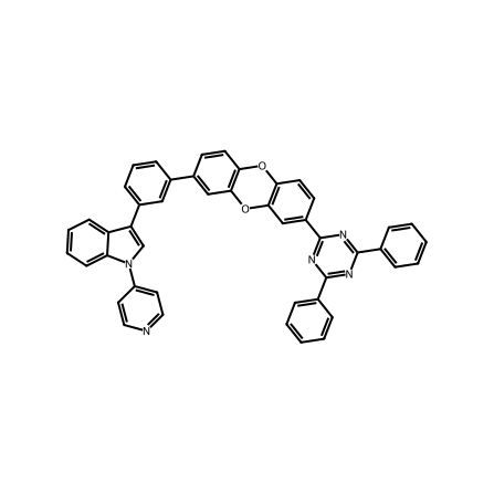 c1ccc(-c2nc(-c3ccccc3)nc(-c3ccc4c(c3)Oc3cc(-c5cccc(-c6cn(-c7ccncc7)c7ccccc67)c5)ccc3O4)n2)cc1